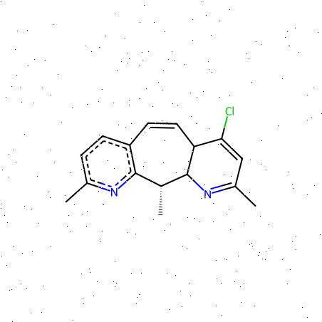 CC1=NC2C(C=Cc3ccc(C)nc3[C@H]2C)C(Cl)=C1